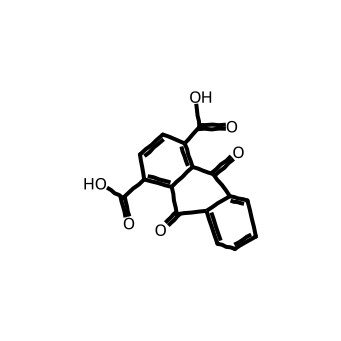 O=C(O)c1ccc(C(=O)O)c2c1C(=O)c1ccccc1C2=O